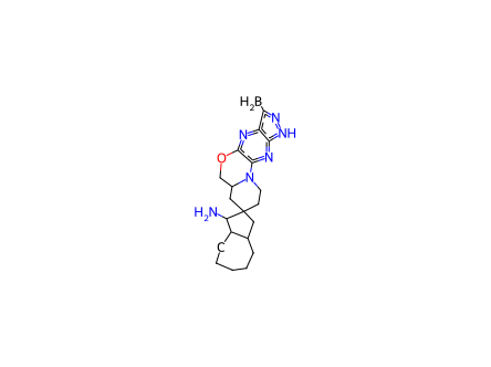 Bc1n[nH]c2nc3c(nc12)OCC1CC2(CCN31)CC1CCCCCC1C2N